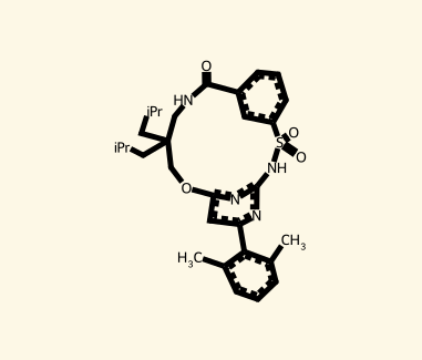 Cc1cccc(C)c1-c1cc2nc(n1)NS(=O)(=O)c1cccc(c1)C(=O)NCC(CC(C)C)(CC(C)C)CO2